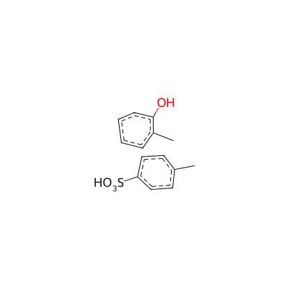 Cc1ccc(S(=O)(=O)O)cc1.Cc1ccccc1O